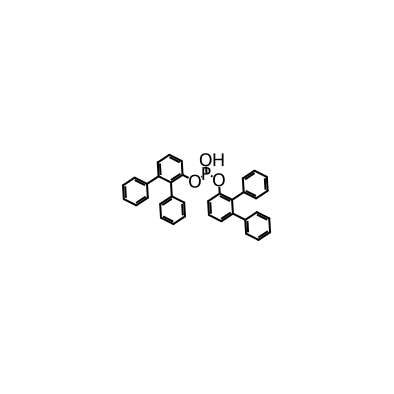 OP(Oc1cccc(-c2ccccc2)c1-c1ccccc1)Oc1cccc(-c2ccccc2)c1-c1ccccc1